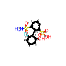 NS(=O)(=O)c1cccc(S(=O)(=O)O)c1-c1c(O)cccc1F